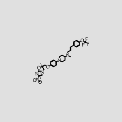 CN(CC=Cc1ccc(OC(F)(F)F)cc1)C1CCN(c2ccc(OC[C@@]3(C)Cn4cc([N+](=O)[O-])nc4O3)cc2)CC1